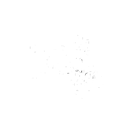 CCCOC(=O)c1c(/C=C/C[C@@H]2OC(C)(C)O[C@@H]2C(/C=C\[C@@H](C)[C@H](C)CC(C)(C)[Si](O)(c2ccccc2)c2ccccc2)O[Si](C)(C)C(C)(C)C)cc(Cl)cc1OCOC